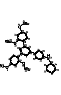 CCCCOc1ccc(-c2cc(-c3ccc(Nc4ccccc4)cc3)cc(-c3ccc(OCCCC)cc3OCCCC)n2)c(OCCCC)c1